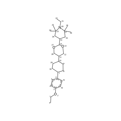 CCOc1ccc(C2CCC(C3COC(C4CC(C)(C)N(CC)C(C)(C)C4)OC3)CC2)cc1